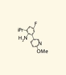 COc1ccc(-c2cc(F)cc(C(C)C)c2N)cn1